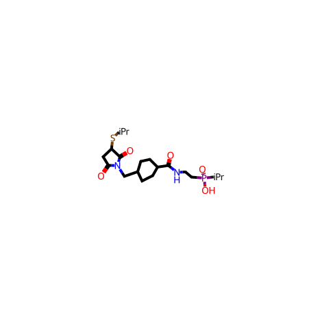 CC(C)SC1CC(=O)N(CC2CCC(C(=O)NCCP(=O)(O)C(C)C)CC2)C1=O